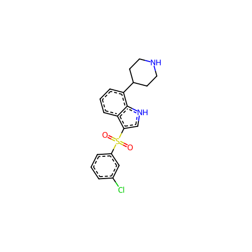 O=S(=O)(c1cccc(Cl)c1)c1c[nH]c2c(C3CCNCC3)cccc12